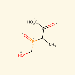 CC(C(=O)C(=O)O)[PH](=O)CO